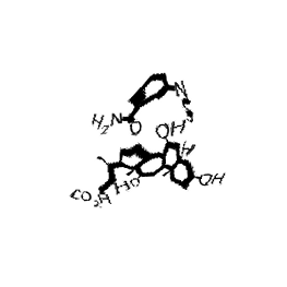 C[C@H](CCC(=O)O)[C@H]1CCC2C3C(C[C@H](O)[C@@]21C)[C@@]1(C)CC[C@@H](O)C[C@H]1C[C@H]3O.NC(=O)c1cccc(N=C=S)c1